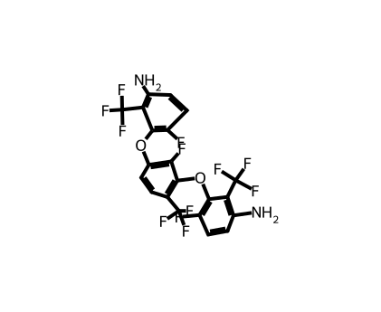 Nc1ccc(F)c(Oc2ccc(C(F)(F)F)c(Oc3c(F)ccc(N)c3C(F)(F)F)c2F)c1C(F)(F)F